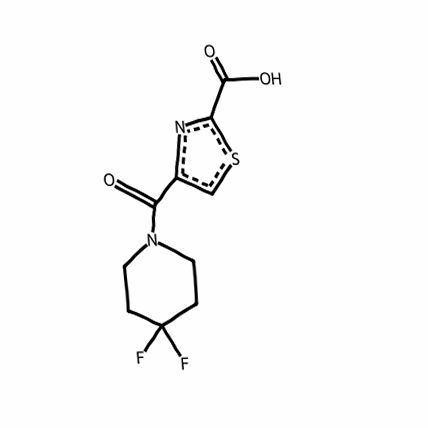 O=C(O)c1nc(C(=O)N2CCC(F)(F)CC2)cs1